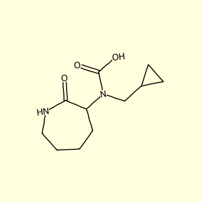 O=C1NCCCCC1N(CC1CC1)C(=O)O